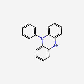 c1ccc(N2c3ccccc3Nc3ccccc32)cc1